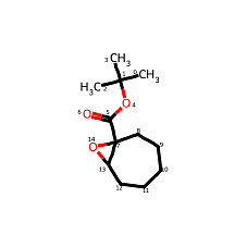 CC(C)(C)OC(=O)C12CCCCCC1O2